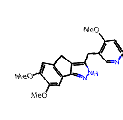 COc1ccncc1Cc1[nH]nc2c1Cc1cc(OC)c(OC)cc1-2